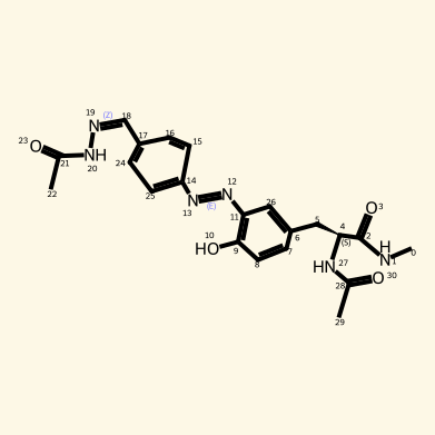 CNC(=O)[C@H](Cc1ccc(O)c(/N=N/c2ccc(/C=N\NC(C)=O)cc2)c1)NC(C)=O